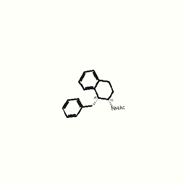 CC(=O)N[C@H]1CCc2ccccc2[C@H]1Cc1ccccc1